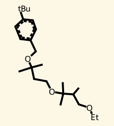 CCOCC(C)C(C)(C)OCCC(C)(C)OCc1ccc(C(C)(C)C)cc1